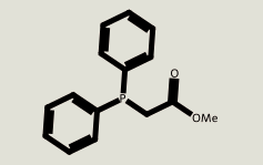 COC(=O)CP(c1ccccc1)c1ccccc1